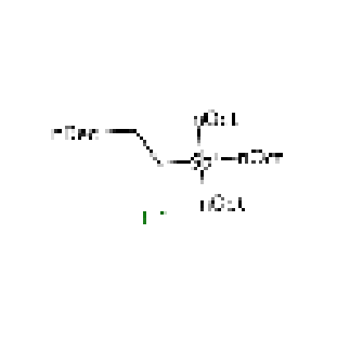 CCCCCCCCCCC[CH2][Sb+]([CH2]CCCCCCC)([CH2]CCCCCCC)[CH2]CCCCCCC.[Cl-]